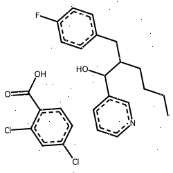 CCCCC(Cc1ccc(F)cc1)C(O)c1cccnc1.O=C(O)c1ccc(Cl)cc1Cl